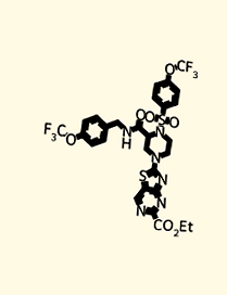 CCOC(=O)c1ncc2sc(N3CCN(S(=O)(=O)c4ccc(OC(F)(F)F)cc4)C(C(=O)NCc4ccc(OC(F)(F)F)cc4)C3)nc2n1